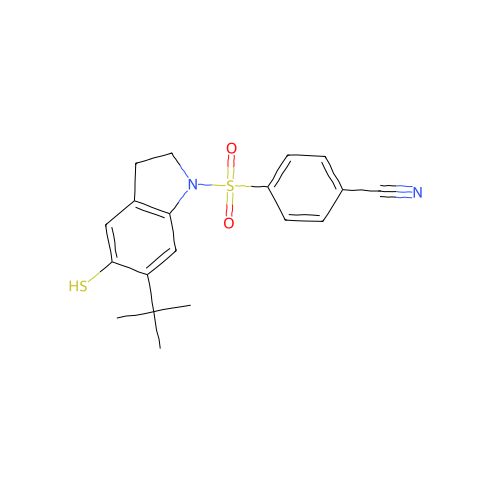 CC(C)(C)c1cc2c(cc1S)CCN2S(=O)(=O)c1ccc(C#N)cc1